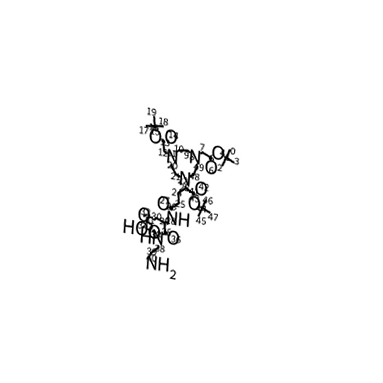 CC(C)(C)OC(=O)CN1CCN(CC(=O)OC(C)(C)C)CCN(C(CCC(=O)NC(CS(=O)(=O)O)C(=O)NCCN)C(=O)OC(C)(C)C)CC1